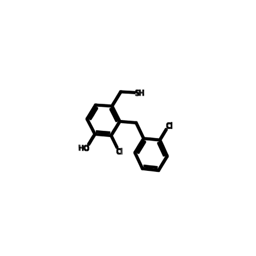 Oc1ccc(CS)c(Cc2ccccc2Cl)c1Cl